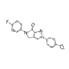 O=C1c2nn(-c3ccc(Cl)cc3)cc2CN1c1ccc(F)nc1